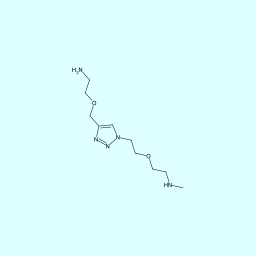 CNCCOCCn1cc(COCCN)nn1